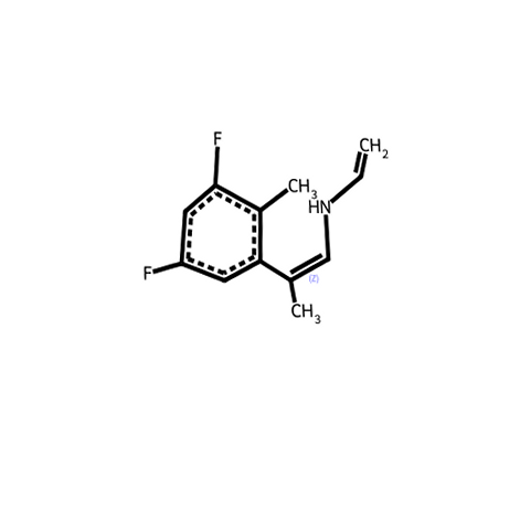 C=CN/C=C(/C)c1cc(F)cc(F)c1C